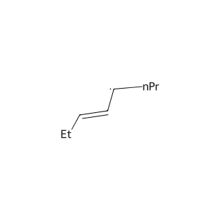 CCC=C[CH]CCC